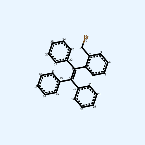 BrCc1ccccc1C(=C(c1ccccc1)c1ccccc1)c1ccccc1